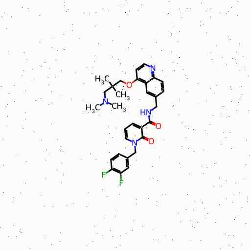 CN(C)CC(C)(C)COc1ccnc2ccc(CNC(=O)c3cccn(Cc4ccc(F)c(F)c4)c3=O)cc12